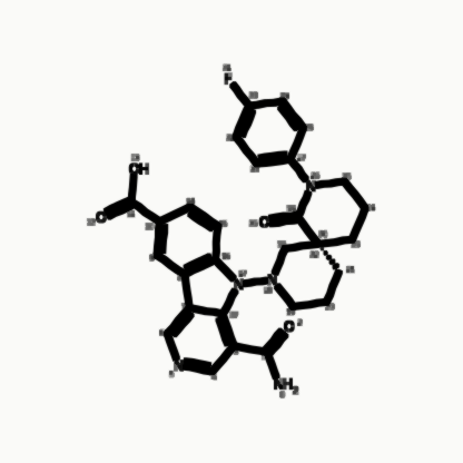 NC(=O)c1cncc2c3cc(C(=O)O)ccc3n(N3CCC[C@]4(CCCN(c5ccc(F)cc5)C4=O)C3)c12